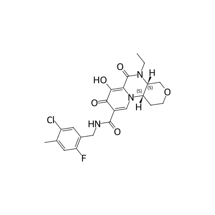 CCN1C(=O)c2c(O)c(=O)c(C(=O)NCc3cc(Cl)c(C)cc3F)cn2[C@H]2CCOC[C@H]21